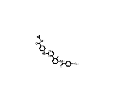 Cc1c(NC(=O)c2ccc(C(C)(C)C)cc2)cccc1-c1ccnc(Nc2ccc(C(=O)NC3CC3)cc2)n1